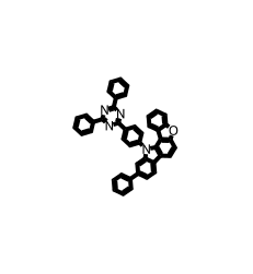 c1ccc(-c2ccc3c4ccc5oc6ccccc6c5c4n(-c4ccc(-c5nc(-c6ccccc6)nc(-c6ccccc6)n5)cc4)c3c2)cc1